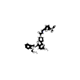 CCOc1ccccc1CNC(=O)c1ccc(C)nc1C1CCN(C(=O)/C=C/c2ccc([N+](=O)[O-])o2)CC1